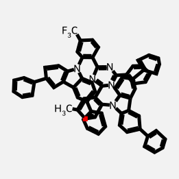 Cc1ccc(-n2c3ccc(-c4ccccc4)cc3c3cc(-c4ccccc4)ccc32)c(-c2nc(-c3ccccc3)nc(-c3ccc(C(F)(F)F)cc3-n3c4ccc(-c5ccccc5)cc4c4cc(-c5ccccc5)ccc43)n2)c1